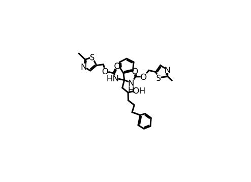 Cc1ncc(COC(=O)NC(CC(O)CCCc2ccccc2)(NC(=O)OCc2cnc(C)s2)c2ccccc2)s1